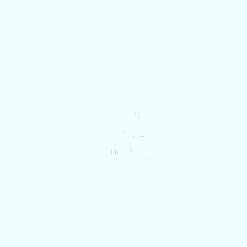 O=C(O)c1ccccc1[N+](=O)[O-].OB(O)O